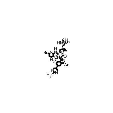 CC(=O)c1nn(CC(=O)N2[C@H](C(=O)Nc3nc(Br)ccc3C)C[C@@]3(CCS(C)(=N)=O)C4C[C@@]423)c2c(C)cc(-c3cnc(C)nc3)cc12